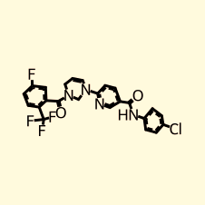 O=C(Nc1ccc(Cl)cc1)c1ccc(N2C=CCN(C(=O)c3cc(F)ccc3C(F)(F)F)C2)nc1